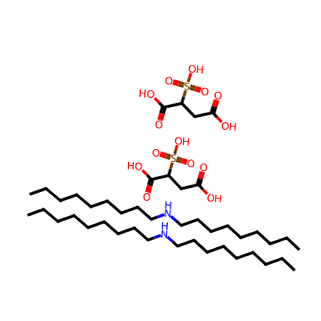 CCCCCCCCCNCCCCCCCCC.CCCCCCCCCNCCCCCCCCC.O=C(O)CC(C(=O)O)S(=O)(=O)O.O=C(O)CC(C(=O)O)S(=O)(=O)O